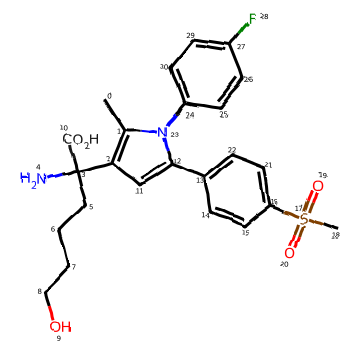 Cc1c(C(N)(CCCCO)C(=O)O)cc(-c2ccc(S(C)(=O)=O)cc2)n1-c1ccc(F)cc1